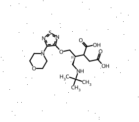 CC(C)(C)NC[C@@H](COc1nsnc1N1CCOCC1)C(CC(=O)O)C(=O)O